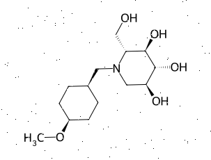 CO[C@H]1CC[C@@H](CN2C[C@H](O)[C@@H](O)[C@H](O)[C@H]2CO)CC1